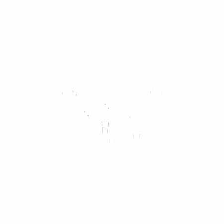 CC(C)[Si](OC(CC(C)(C)O)n1cc([N+](=O)[O-])nc1Br)(C(C)C)C(C)C